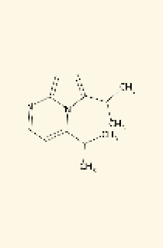 CC(C)c1ccnc2ccc(C(C)C)n12